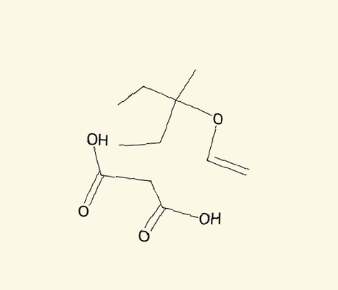 C=COC(C)(CC)CC.O=C(O)CC(=O)O